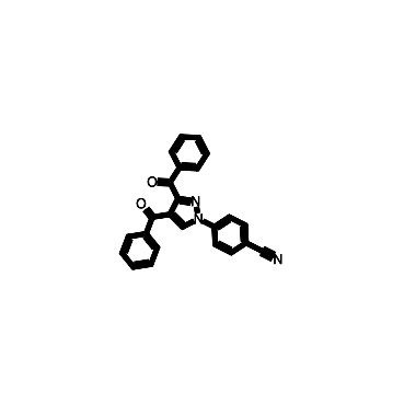 N#Cc1ccc(-n2cc(C(=O)c3ccccc3)c(C(=O)c3ccccc3)n2)cc1